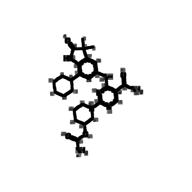 CC1(C)C(=O)Nc2c(C3CCCCC3)cc(Nc3nc(N4CCC[C@H](OC(N)=O)C4)ncc3C(N)=O)cc21